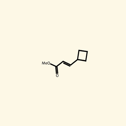 COC(=O)/C=C/C1CCC1